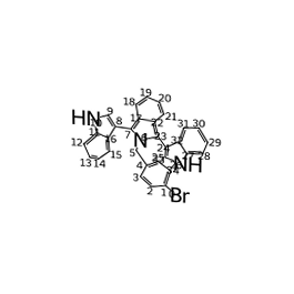 Brc1ccc(Cn2c(-c3c[nH]c4ccccc34)c3ccccc3c2-c2c[nH]c3ccccc23)cc1